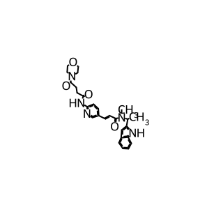 CC(c1cc2ccccc2[nH]1)N(C)C(=O)C=Cc1ccc(NC(=O)CCC(=O)N2CCOCC2)nc1